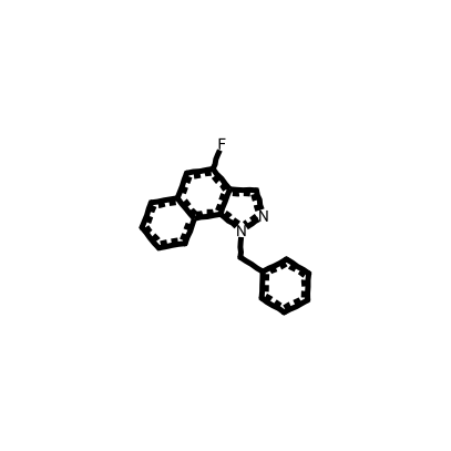 Fc1cc2ccccc2c2c1cnn2Cc1ccccc1